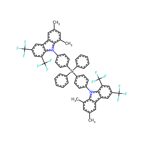 Cc1cc(C)c2c(c1)c1cc(C(F)(F)F)cc(C(F)(F)F)c1n2-c1ccc([Si](c2ccccc2)(c2ccccc2)c2ccc(-n3c4c(C)cc(C)cc4c4cc(C(F)(F)F)cc(C(F)(F)F)c43)cc2)cc1